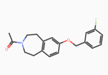 CC(=O)N1CCc2ccc(OCc3cccc(F)c3)cc2CC1